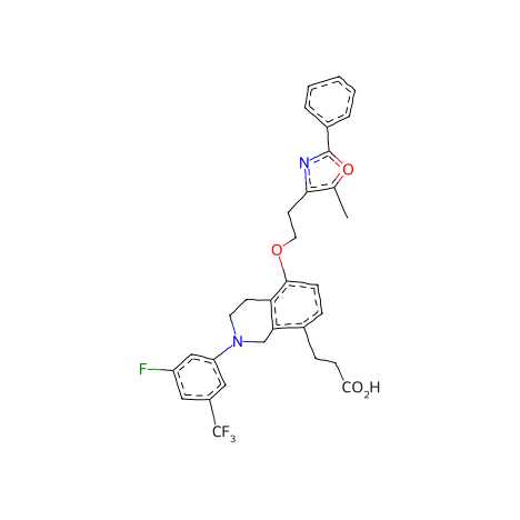 Cc1oc(-c2ccccc2)nc1CCOc1ccc(CCC(=O)O)c2c1CCN(c1cc(F)cc(C(F)(F)F)c1)C2